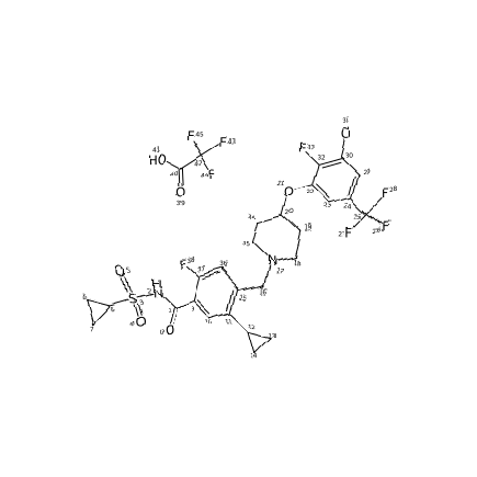 O=C(NS(=O)(=O)C1CC1)c1cc(C2CC2)c(CN2CCC(Oc3cc(C(F)(F)F)cc(Cl)c3F)CC2)cc1F.O=C(O)C(F)(F)F